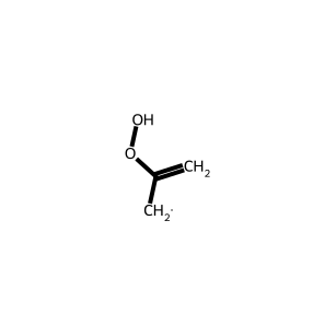 [CH2]C(=C)OO